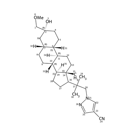 COC[C@@]1(O)CC[C@H]2[C@H](CC[C@@H]3[C@@H]2CC[C@]2(C)C(C(C)(C)Cn4cc(C#N)cn4)CC[C@@H]32)C1